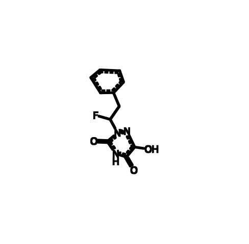 O=c1[nH]c(=O)n(C(F)Cc2ccccc2)nc1O